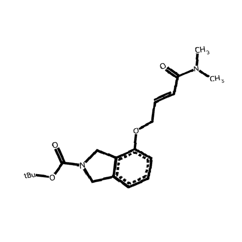 CN(C)C(=O)C=CCOc1cccc2c1CN(C(=O)OC(C)(C)C)C2